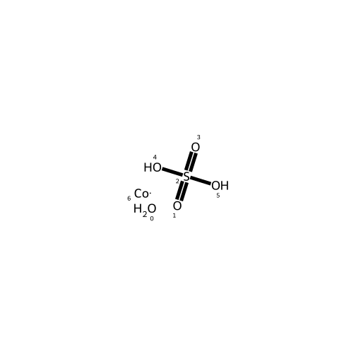 O.O=S(=O)(O)O.[Co]